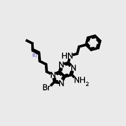 CC/C=C/CCCn1c(Br)nc2c(N)nc(NCCc3ccccc3)nc21